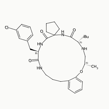 CCC(C)[C@@H]1NC[C@H](C)Oc2ccccc2CCCNC(=O)[C@@H](Cc2cccc(Cl)c2)NC(=O)C2(CCCC2)NC1=O